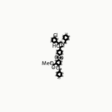 COC(=O)c1cc(S(=O)(=O)c2ccc(CCN(Cc3ccccc3)C[C@@H](O)c3cccc(Cl)c3)cc2)ccc1OCc1ccccc1